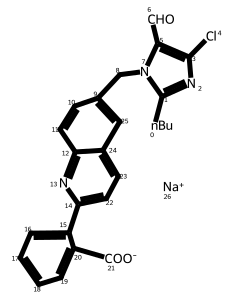 CCCCc1nc(Cl)c(C=O)n1Cc1ccc2nc(-c3ccccc3C(=O)[O-])ccc2c1.[Na+]